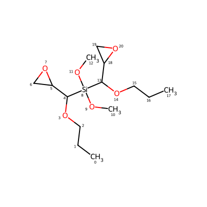 CCCOC(C1CO1)[Si](OC)(OC)C(OCCC)C1CO1